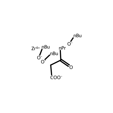 CCCC(=O)CC(=O)[O-].CCCC[O-].CCCC[O-].CCCC[O-].[Zr+4]